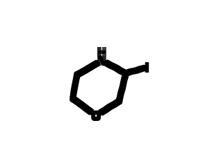 IC1COCCN1